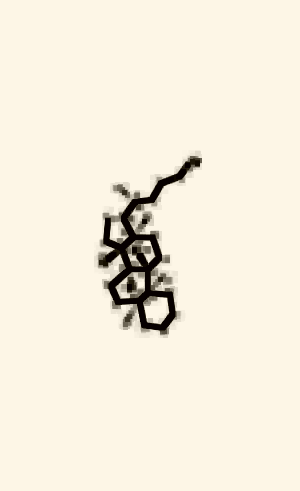 CC(C)CCC[C@@H](C)[C@H]1CC[C@H]2[C@@H]3CC[C@]4(C)CCCC[C@]4(C)[C@H]3CC[C@]12C